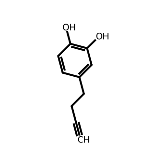 C#CCCc1ccc(O)c(O)c1